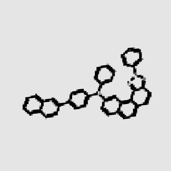 c1ccc(N(c2ccc(-c3ccc4ccccc4c3)cc2)c2ccc3ccc4ccc5nn(-c6ccccc6)nc5c4c3c2)cc1